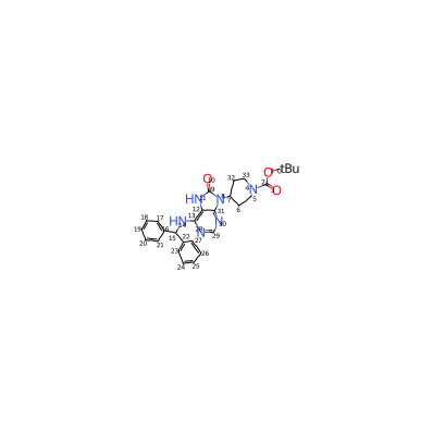 CC(C)(C)OC(=O)N1CCC(n2c(=O)[nH]c3c(NC(c4ccccc4)c4ccccc4)ncnc32)CC1